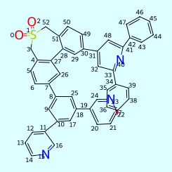 O=S1(=O)Cc2ccc(-c3cc(-c4cccnc4)cc(-c4cccnc4)c3)cc2-c2cc(-c3cc(-c4ccccc4)nc(-c4ccccc4)c3)ccc2C1